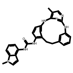 Cc1cnc2nc1Nc1ccc(NC(=O)Nc3cccc4c3ccn4C)c(c1)CCc1cccc(c1)N2